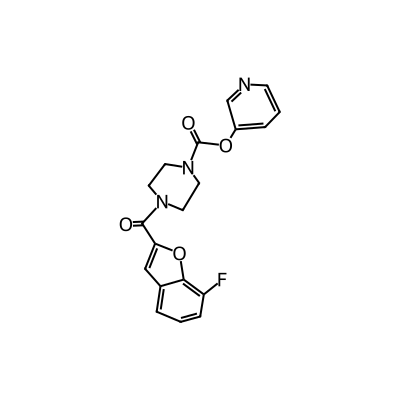 O=C(Oc1cccnc1)N1CCN(C(=O)c2cc3cccc(F)c3o2)CC1